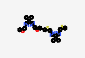 c1ccc2c(c1)oc1ccc(-c3ncc4c(n3)c3nc(-c5ccc6oc7cc(-c8ccc9c(c8)sc8ccc(-c%10ncc%11c(n%10)c%10nc(-c%12ccc%13sc%14ccccc%14c%13c%12)ncc%10c%10c%12ccccc%12c%12ccccc%12c%11%10)cc89)ccc7c6c5)ncc3c3c5ccccc5c5ccccc5c43)cc12